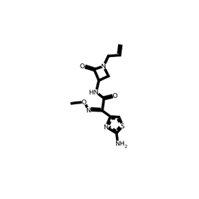 C=CCN1CC(NC(=O)C(=NOC)c2csc(N)n2)C1=O